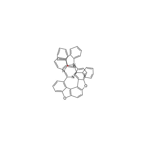 c1ccc(-c2nc(-c3ccccc3)nc(-c3cccc4oc5ccc6oc7ccc(-n8c9ccccc9c9ccccc98)cc7c6c5c34)n2)cc1